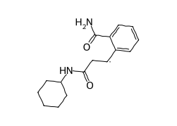 NC(=O)c1ccccc1[CH]CC(=O)NC1CCCCC1